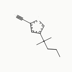 CCCC(C)(C)c1csc(C#N)c1